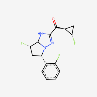 O=C(C1=NN2C(N1)[C@@H](F)C[C@H]2c1ccccc1F)[C@H]1C[C@@H]1F